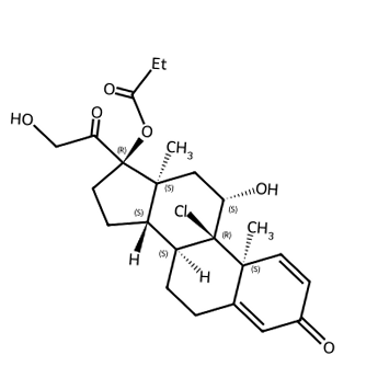 CCC(=O)O[C@]1(C(=O)CO)CC[C@H]2[C@@H]3CCC4=CC(=O)C=C[C@]4(C)[C@@]3(Cl)[C@@H](O)C[C@@]21C